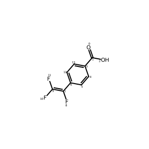 O=C(O)c1ccc(C(F)=C(F)F)cc1